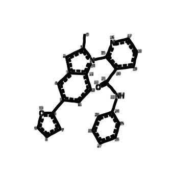 Cc1cc2cc(-c3ccco3)ccc2n1-c1ncccc1C(=O)Nc1ccccc1